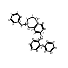 c1ccc(CN2CCOc3ccc(Oc4ccccc4-c4ccccc4)cc3C2)cc1